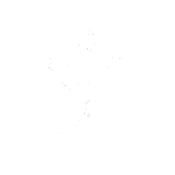 C[C@H](Nc1cc(-c2cncn2Cc2ccccc2)ccn1)c1cc2cc(Cl)cc(F)c2[nH]c1=O